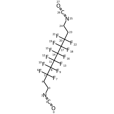 O=C=NCCC(F)(F)C(F)(F)C(F)(F)C(F)(F)C(F)(F)C(F)(F)CCN=C=O